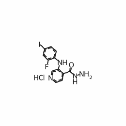 Cl.NNC(=O)c1ccncc1Nc1ccc(I)cc1F